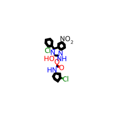 O=C(Nc1cccc(Cl)c1)ONC1=Nc2ccc([N+](=O)[O-])cc2C(c2ccccc2Cl)=NC1O